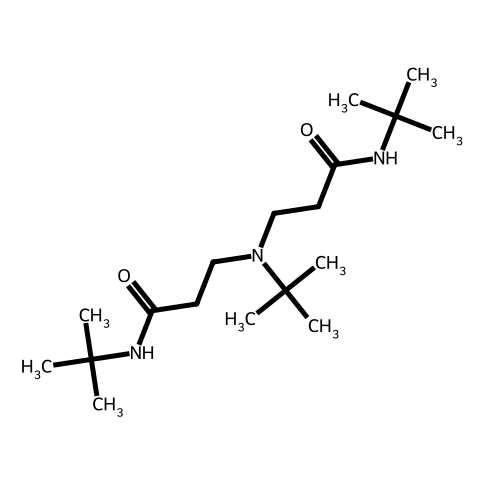 CC(C)(C)NC(=O)CCN(CCC(=O)NC(C)(C)C)C(C)(C)C